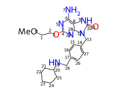 COCCOc1nc(N)c2[nH]c(=O)n(Cc3ccc(CNC4CCCCC4)cc3)c2n1